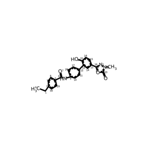 CCc1ccc(C(=O)Nc2ccc(-c3cc(-c4nn(C)c(=O)o4)ccc3O)cc2)cc1